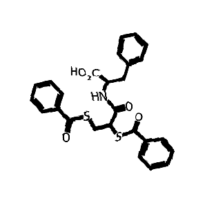 O=C(SCC(SC(=O)c1ccccc1)C(=O)NC(Cc1ccccc1)C(=O)O)c1ccccc1